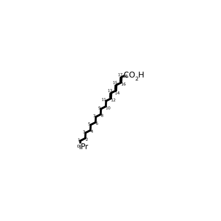 CC(C)CCCCCCCCCCCC=CC=CC=CC(=O)O